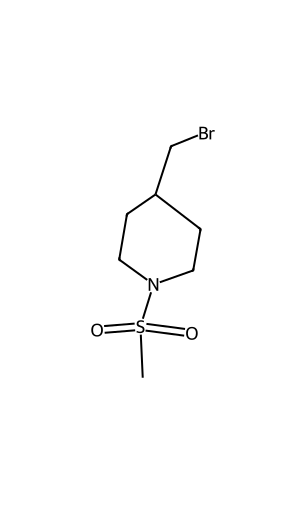 CS(=O)(=O)N1CCC(CBr)CC1